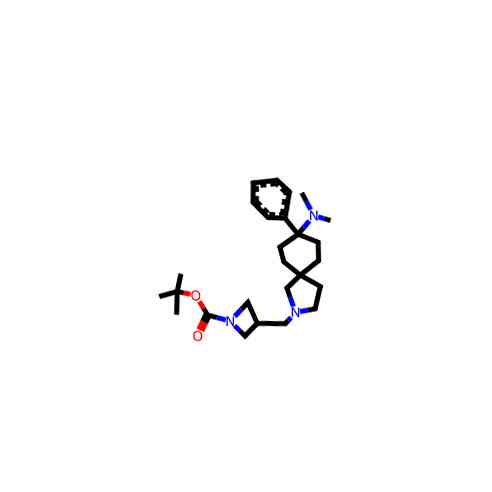 CN(C)C1(c2ccccc2)CCC2(CCN(CC3CN(C(=O)OC(C)(C)C)C3)C2)CC1